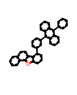 c1ccc(-c2c3ccccc3c(-c3cccc(-c4cccc5oc6c7ccccc7ccc6c45)c3)c3ccccc23)cc1